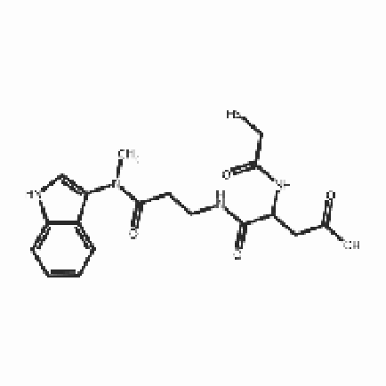 CN(C(=O)CCNC(=O)C(CC(=O)O)NC(=O)CS)c1c[nH]c2ccccc12